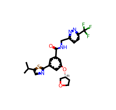 CC(C)c1cnc(-c2cc(O[C@@H]3CCOC3)cc(C(=O)NCc3ccc(C(F)(F)F)nn3)c2)s1